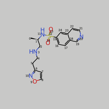 C[C@H](CNCCc1ccon1)NS(=O)(=O)c1ccc2cnccc2c1